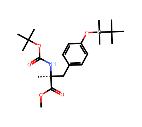 COC(=O)[C@](C)(Cc1ccc(O[Si](C)(C)C(C)(C)C)cc1)NC(=O)OC(C)(C)C